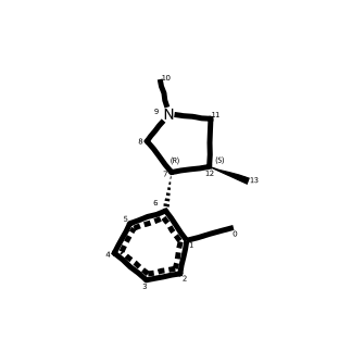 Cc1ccccc1[C@@H]1CN(C)C[C@H]1C